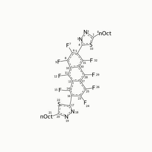 CCCCCCCCc1nnc(-c2c(F)c(F)c3c(F)c4c(F)c(-c5nnc(CCCCCCCC)s5)c(F)c(F)c4c(F)c3c2F)s1